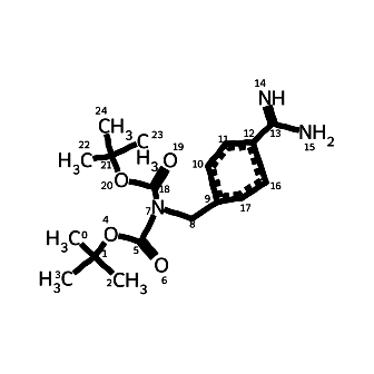 CC(C)(C)OC(=O)N(Cc1ccc(C(=N)N)cc1)C(=O)OC(C)(C)C